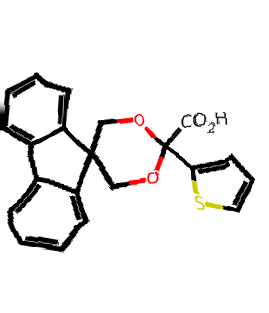 O=C(O)C1(c2cccs2)OCC2(CO1)c1ccccc1-c1ccccc12